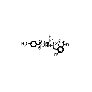 Cc1ccc(S(=O)(=O)ON=C(N)NN=Cc2c(Cl)ccc([N+](=O)[O-])c2[N+](=O)[O-])cc1